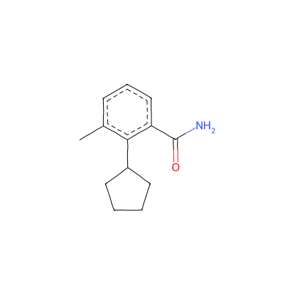 Cc1cccc(C(N)=O)c1C1CCCC1